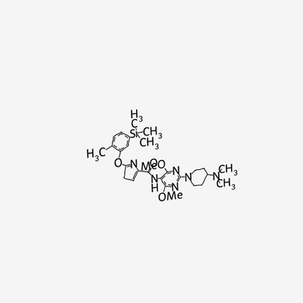 COc1nc(N2CCC(N(C)C)CC2)nc(OC)c1NC(=O)C1=CCC(Oc2cc([Si](C)(C)C)ccc2C)=N1